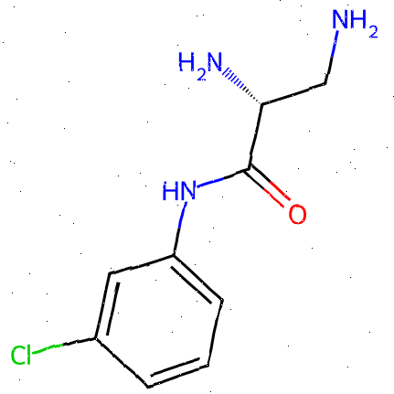 NC[C@@H](N)C(=O)Nc1cccc(Cl)c1